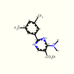 CCOC(=O)c1cnc(-c2cc(C(F)(F)F)cc(C(F)(F)F)c2)nc1N(C)C